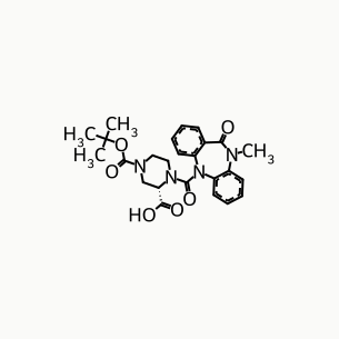 CN1C(=O)c2ccccc2N(C(=O)N2CCN(C(=O)OC(C)(C)C)C[C@H]2C(=O)O)c2ccccc21